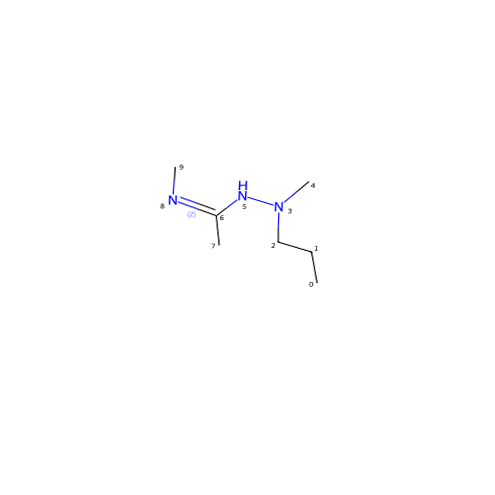 CCCN(C)N/C(C)=N\C